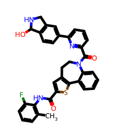 Cc1cccc(F)c1NC(=O)c1cc2c(s1)-c1ccccc1N(C(=O)c1cccc(-c3ccc4c(c3)CNC4O)n1)CC2